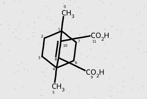 CC12CCC(C)(CC1)C(C(=O)O)=C2C(=O)O